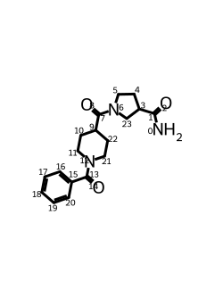 NC(=O)C1CCN(C(=O)C2CCN(C(=O)c3ccccc3)CC2)C1